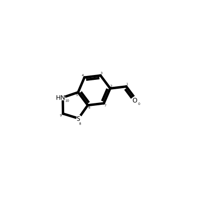 O=Cc1ccc2c(c1)SCN2